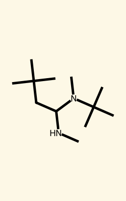 CNC(CC(C)(C)C)N(C)C(C)(C)C